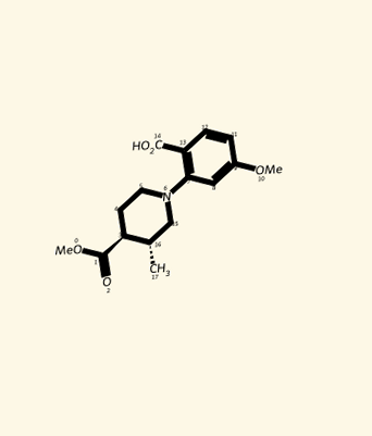 COC(=O)[C@H]1CCN(c2cc(OC)ccc2C(=O)O)C[C@@H]1C